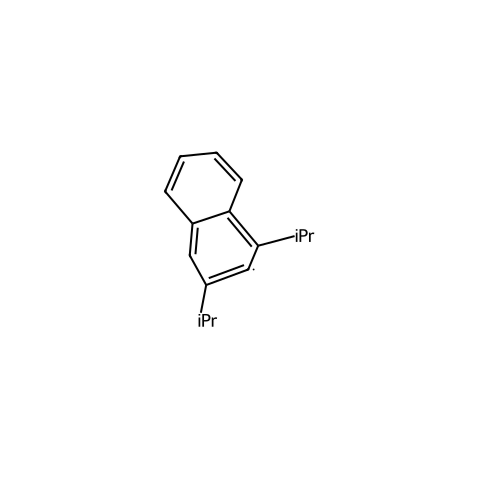 CC(C)c1[c]c(C(C)C)c2ccccc2c1